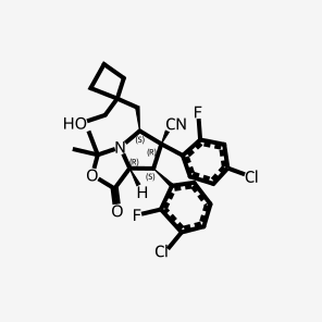 CC1(C)OC(=O)[C@H]2[C@H](c3cccc(Cl)c3F)[C@@](C#N)(c3ccc(Cl)cc3F)[C@H](CC3(CO)CCC3)N21